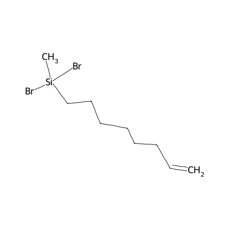 C=CCCCCCC[Si](C)(Br)Br